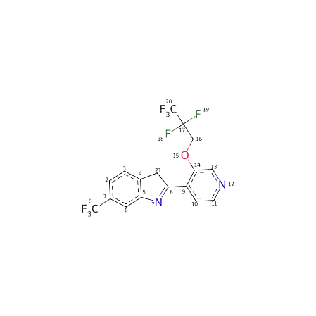 FC(F)(F)c1ccc2c(c1)N=C(c1ccncc1OCC(F)(F)C(F)(F)F)C2